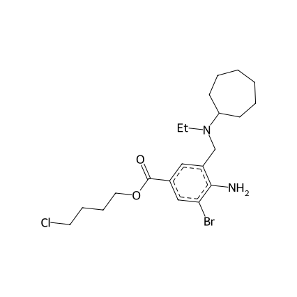 CCN(Cc1cc(C(=O)OCCCCCl)cc(Br)c1N)C1CCCCCC1